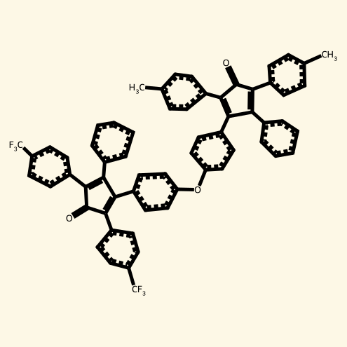 Cc1ccc(C2=C(c3ccccc3)C(c3ccc(Oc4ccc(C5=C(c6ccc(C(F)(F)F)cc6)C(=O)C(c6ccc(C(F)(F)F)cc6)=C5c5ccccc5)cc4)cc3)=C(c3ccc(C)cc3)C2=O)cc1